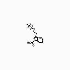 CC(C)(C)[Si](C)(C)OCCc1cn(C(=O)O)c2ccccc12